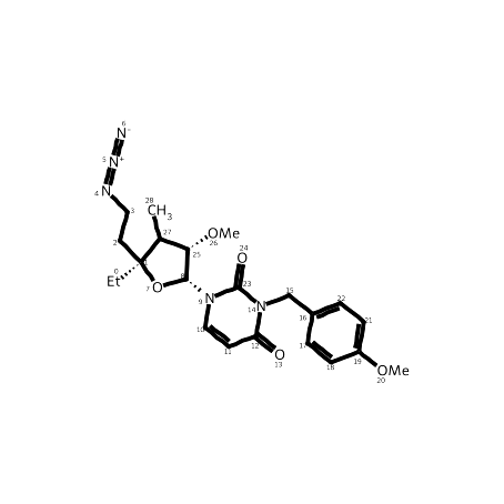 CC[C@@]1(CCN=[N+]=[N-])O[C@@H](n2ccc(=O)n(Cc3ccc(OC)cc3)c2=O)[C@@H](OC)C1C